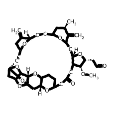 C=C1C2C[C@@H]3O[C@H](CC=O)[C@H](OC)C3CC(=O)CC3CCC4O[C@H]5C6O[C@]7(CCC8CC(=C)[C@H](CCC(C[C@H]1C)O2)O8)CC6OC5C(O7)[C@H]4O3